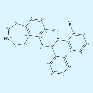 Fc1ccccc1OC(Sc1c(Cl)ccc2c1CCNCC2)c1ccccc1